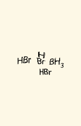 B.Br.Br.Br